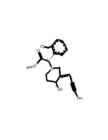 COC(=O)[C@H](c1ccccc1Cl)N1CCC(S)/C(=C\C#CO)C1